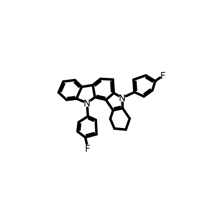 Fc1ccc(-n2c3c(c4c2ccc2c5ccccc5n(-c5ccc(F)cc5)c24)CCCC3)cc1